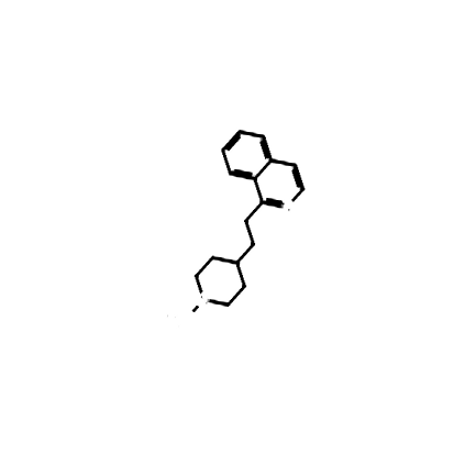 O=C(O)N1CCC(CCc2nccc3ccccc23)CC1